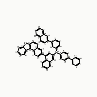 c1ccc(-c2ccc(N(c3cccc(-c4ccc5ccccc5c4)c3)c3cc(-c4ccc5c(ccc6oc7ccccc7c65)c4)c4ccccc4c3)cc2)cc1